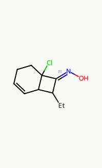 CCC1/C(=N\O)C2(Cl)CCC=CC12